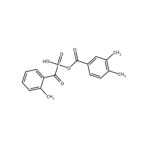 Cc1ccc(C(=O)OP(=O)(O)C(=O)c2ccccc2C)cc1C